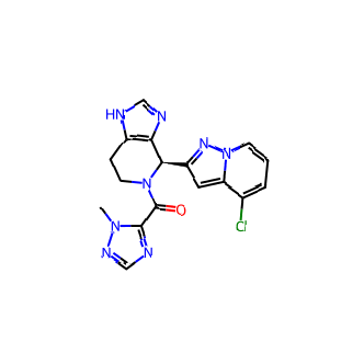 Cn1ncnc1C(=O)N1CCc2[nH]cnc2[C@H]1c1cc2c(Cl)cccn2n1